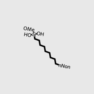 CCCCCCCCCCCCCCCCCC[Si](O)(O)OC